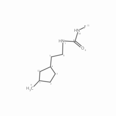 CC1CCC(CCNC(=O)NF)C1